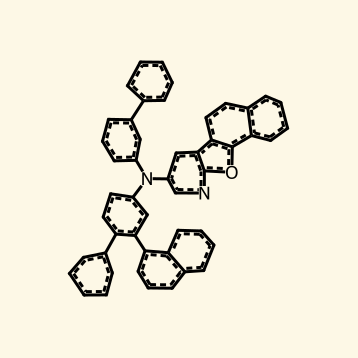 c1ccc(-c2cccc(N(c3ccc(-c4ccccc4)c(-c4cccc5ccccc45)c3)c3cnc4oc5c6ccccc6ccc5c4c3)c2)cc1